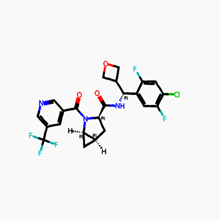 O=C(N[C@@H](c1cc(F)c(Cl)cc1F)C1COC1)[C@H]1C[C@H]2C[C@H]2N1C(=O)c1cncc(C(F)(F)F)c1